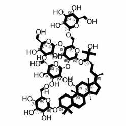 C[C@H](CC[C@@H](O[C@@H]1O[C@H](CO[C@H]2O[C@H](CO)[C@@H](O)[C@H](O)[C@H]2O)[C@@H](O[C@H]2O[C@H](CO)[C@@H](O)[C@H](O)[C@H]2O)[C@H](O)[C@H]1O[C@H]1O[C@@H](CO)[C@H](O)[C@@H](O)[C@@H]1O)C(C)(C)O)C1CC[C@@]2(C)C3CC=C4C(CC[C@H](O[C@@H]5O[C@H](CO)[C@@H](O)[C@H](O)[C@H]5O)C4(C)C)[C@]3(C)[C@H](O)C[C@]12C